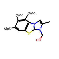 COc1cc2c(c(OC)c1OC)N1C=C(C)N(CO)C1S2